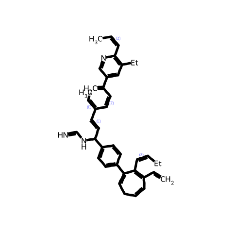 C=CC1=C(/C=C\CC)C(c2ccc(C(/C=C/C(/C=C\C(=C)c3cnc(/C=C\C)c(CC)c3)=C/C)NC=N)cc2)=CCC=C1